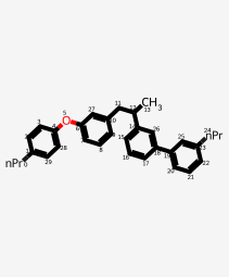 CCCc1ccc(Oc2cccc(CC(C)c3cccc(-c4cccc(CCC)c4)c3)c2)cc1